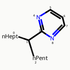 CCCCCCCC(CCCCC)c1ncccn1